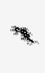 CC(C)=CCCC(C)(O)[C@H]1CC[C@]2(C)[C@@H]1[C@H](O)C[C@@H]1[C@@]3(C)CC[C@H](O[C@@H]4C[C@@H](O)[C@H](O)[C@@H](CO)O4)C(C)(C)[C@@H]3CC[C@]12C